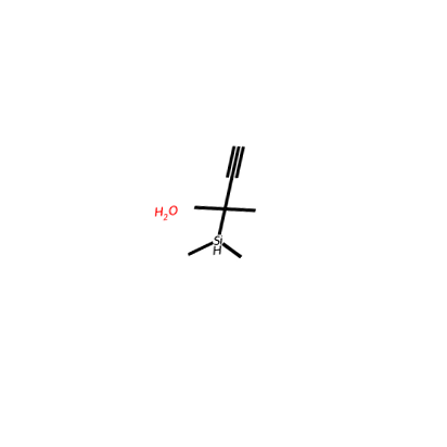 C#CC(C)(C)[SiH](C)C.O